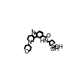 Cn1c2c(c3cc(C(=O)NC4CCS(O)(O)C4)ccc31)CN(C1CCOCC1)CC2